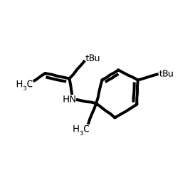 C/C=C(\NC1(C)C=CC(C(C)(C)C)=CC1)C(C)(C)C